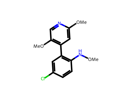 CONc1ccc(Cl)cc1-c1cc(OC)ncc1OC